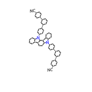 N#Cc1ccc(-c2cccc(-c3ccc(-n4c5ccccc5c5c4ccc4c6ccccc6n(-c6ccc(-c7cccc(-c8ccc(C#N)cc8)c7)cc6)c45)cc3)c2)cc1